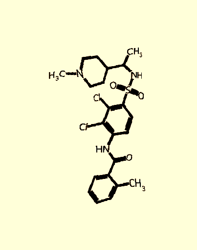 Cc1ccccc1C(=O)Nc1ccc(S(=O)(=O)NC(C)C2CCN(C)CC2)c(Cl)c1Cl